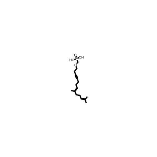 CC(C)=CCCC(C)=CCCC#CCCOCP(=O)(O)O